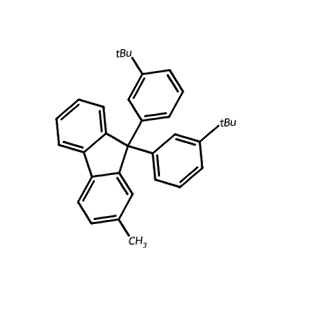 Cc1ccc2c(c1)C(c1cccc(C(C)(C)C)c1)(c1cccc(C(C)(C)C)c1)c1ccccc1-2